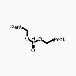 CCCC(C)CO[PH](=O)OCC(C)CCC